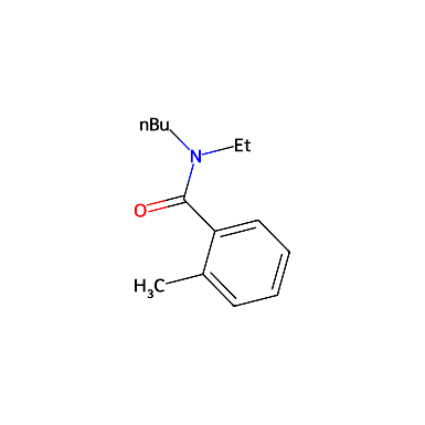 CCCCN(CC)C(=O)c1ccccc1C